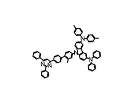 Cc1ccc(N(c2ccc(C)cc2)c2ccc3c(c2)c2cc(N(c4ccccc4)c4ccccc4)ccc2n3-c2ccc(-c3ccc(-c4cc(-c5ccccc5)nc(-c5ccccc5)n4)cc3)c(C)c2)cc1